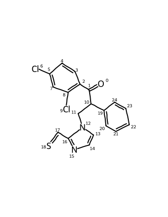 O=C(c1ccc(Cl)cc1Cl)C(Cn1ccnc1C=S)c1ccccc1